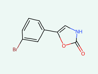 O=c1[nH]cc(-c2cccc(Br)c2)o1